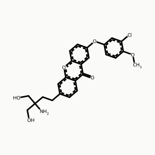 COc1ccc(Oc2ccc3oc4cc(CCC(N)(CO)CO)ccc4c(=O)c3c2)cc1Cl